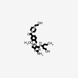 CCCC(CCO)Nc1nc(N)nc2cnn(Cc3ccc(C(=O)N4CCN(CCO)CC4)cc3OC)c12